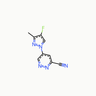 Cc1nn(-c2cnnc(C#N)c2)cc1F